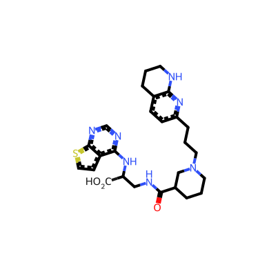 O=C(NCC(Nc1ncnc2sccc12)C(=O)O)C1CCCN(CCCc2ccc3c(n2)NCCC3)C1